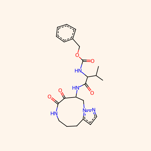 CC(C)C(NC(=O)OCc1ccccc1)C(=O)NC1Cn2nccc2CCCNC(=O)C1=O